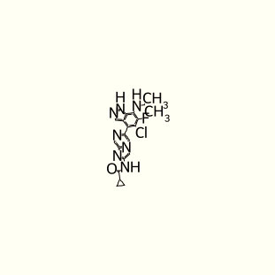 CC(C)Nc1c(F)c(Cl)c(-c2cn3cc(NC(=O)C4CC4)nc3cn2)c2cn[nH]c12